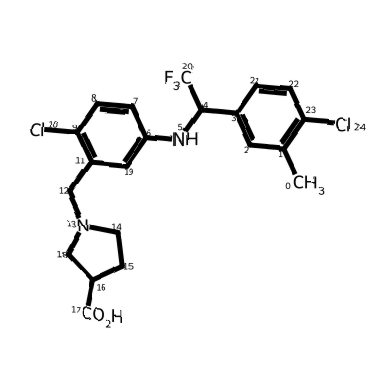 Cc1cc(C(Nc2ccc(Cl)c(CN3CCC(C(=O)O)C3)c2)C(F)(F)F)ccc1Cl